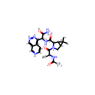 CC(C)C(NC(=O)C(F)(F)F)C(=O)N1CC2C(C1C(=O)NC(C(N)=O)c1nncc3cnccc13)C2(C)C